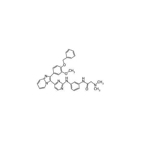 COc1cc(-c2nc3ccccn3c2-c2ccnc(Nc3cccc(NC(=O)CN(C)C)c3)n2)ccc1OCc1ccccc1